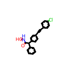 O=C(NO)C(c1ccccc1)c1ccc(C#Cc2ccc(Cl)cc2)cc1